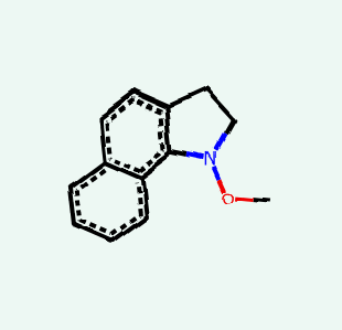 CON1CCc2ccc3ccccc3c21